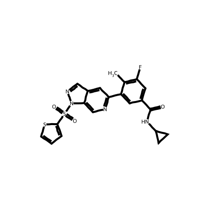 Cc1c(F)cc(C(=O)NC2CC2)cc1-c1cc2cnn(S(=O)(=O)c3cccs3)c2cn1